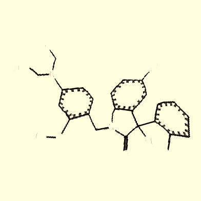 CCN(CC)c1ccc(CN2C(=O)C(C)(c3ccccc3Cl)c3cc(Cl)ccc32)c(OC)c1